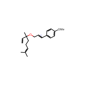 C=CC(C)(CCC=C(C)C)OC/C=C/c1ccc(OC)cc1